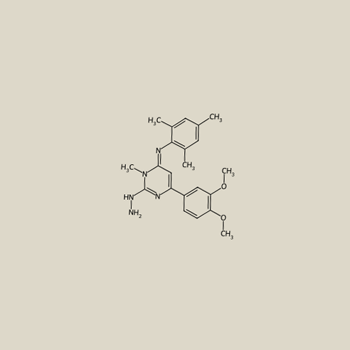 COc1ccc(-c2cc(=Nc3c(C)cc(C)cc3C)n(C)c(NN)n2)cc1OC